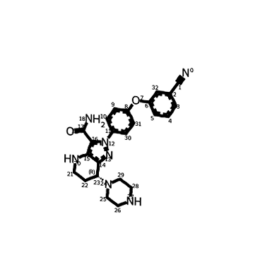 N#Cc1cccc(Oc2ccc(-n3nc4c(c3C(N)=O)NCC[C@H]4N3CCNCC3)cc2)c1